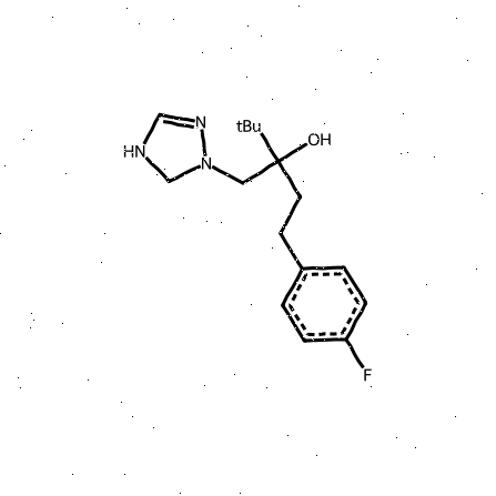 CC(C)(C)C(O)(CCc1ccc(F)cc1)CN1CNC=N1